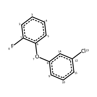 Fc1cc[c]cc1Oc1cccc(Cl)c1